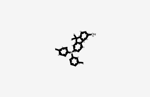 Cc1ccc(N(c2cccc(C)c2)c2ccc3c(c2)C(C)(C)c2ccc(O)cc2-3)cc1